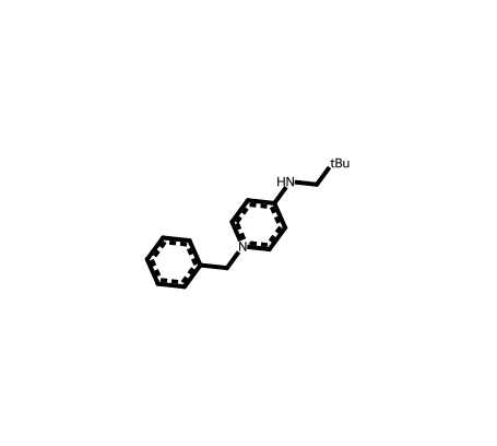 CC(C)(C)CNc1cc[n+](Cc2ccccc2)cc1